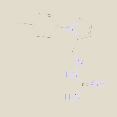 N=C(N)NN=Cc1cccn1-c1ccc(Cl)cc1